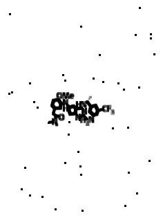 COc1ccc(CC(=O)N(C)C)cc1Nc1ccc2nc(C)nc(N[C@H](C)c3cc(N)cc(C(F)(F)F)c3)c2c1